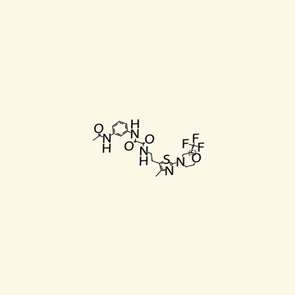 CC(=O)Nc1cccc(NC(=O)C(=O)NCCc2sc(N3CCO[C@H](C(F)(F)F)C3)nc2C)c1